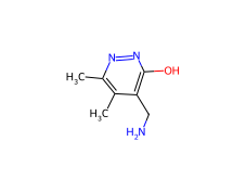 Cc1nnc(O)c(CN)c1C